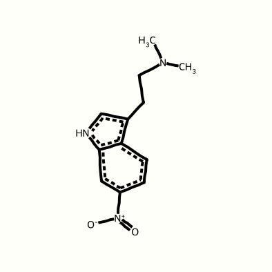 CN(C)CCc1c[nH]c2cc([N+](=O)[O-])ccc12